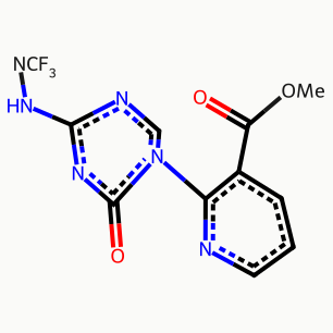 COC(=O)c1cccnc1-n1cnc(NNC(F)(F)F)nc1=O